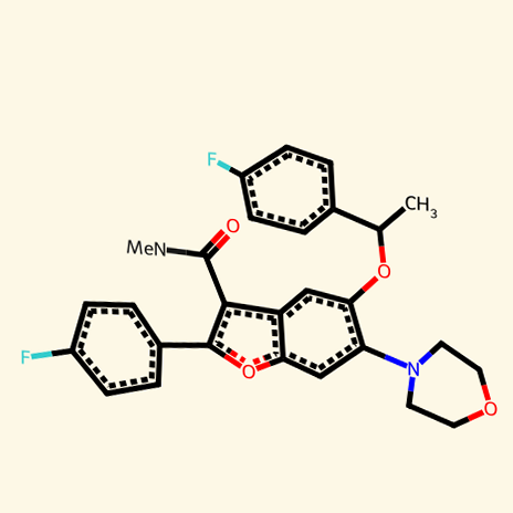 CNC(=O)c1c(-c2ccc(F)cc2)oc2cc(N3CCOCC3)c(OC(C)c3ccc(F)cc3)cc12